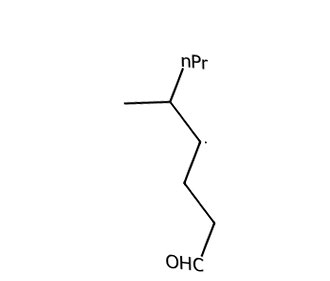 CCCC(C)[CH]CCC=O